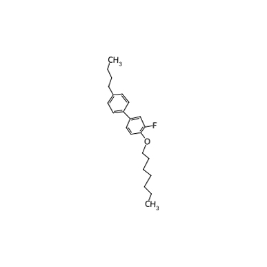 CCCCCCCOc1ccc(-c2ccc(CCCC)cc2)cc1F